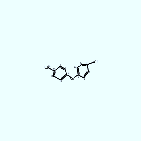 Clc1ccc([Si]c2ccc(Cl)cc2)cc1